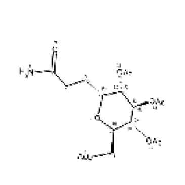 CC(=O)OC[C@H]1O[C@H](CCC(N)=O)[C@H](OC(C)=O)[C@@H](OC(C)=O)[C@@H]1OC(C)=O